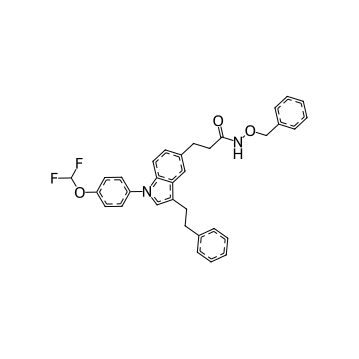 O=C(CCc1ccc2c(c1)c(CCc1ccccc1)cn2-c1ccc(OC(F)F)cc1)NOCc1ccccc1